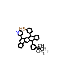 C[Si](C)(C)c1cccc(-c2c3ccccc3c(-c3cccc(S)c3)c3cc4c(-c5cccnc5)cc5ccccc5c4cc23)c1